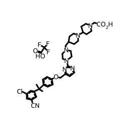 CC(C)(c1ccc(OCc2ccnc(N3CCN(CC4CCN(C5CCN(CC(=O)O)CC5)CC4)CC3)n2)cc1)c1cc(Cl)cc(C#N)c1.O=C(O)C(F)(F)F